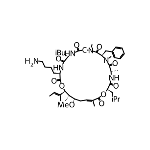 C/C=C(\C)[C@H]1OC(=O)[C@@H](CCCCN)NC(=O)[C@H](C(C)CC)NC(=O)CN(C)C(=O)[C@@H](Cc2ccccc2)N(C)C(=O)[C@H](C)NC(=O)[C@@H](CC(C)C)OC(=O)/C(C)=C/C[C@H](OC)[C@@H]1C